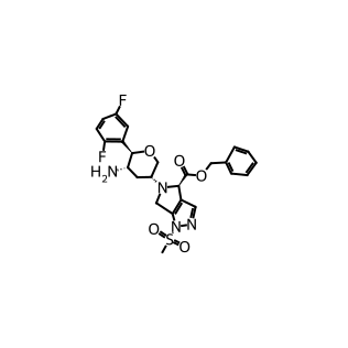 CS(=O)(=O)n1ncc2c1CN([C@H]1CO[C@H](c3cc(F)ccc3F)[C@@H](N)C1)[C@H]2C(=O)OCc1ccccc1